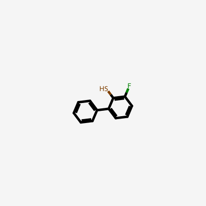 Fc1cccc(-c2ccccc2)c1S